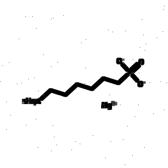 CCCCCCCCCCCCCP(=O)([O-])[O-].[Mg+2]